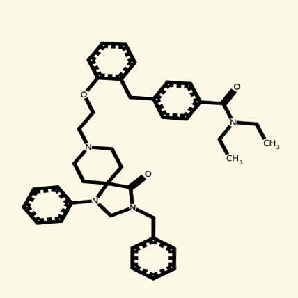 CCN(CC)C(=O)c1ccc(Cc2ccccc2OCCN2CCC3(CC2)C(=O)N(Cc2ccccc2)CN3c2ccccc2)cc1